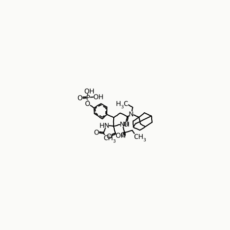 CCC(=O)NC(NC(C)=O)(C(=O)O)C(CC(=O)N(CC)C12CC3CC(CC(C3)C1)C2)c1ccc(OP(=O)(O)O)cc1